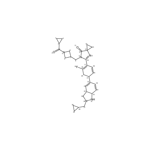 O=C(C1CC1)N1CC(CN2C(=O)C3(CC3)N=C2C2=C(F)CC(C3=CC4CN(CC5CC5)NC4C=C3)C=C2)C1